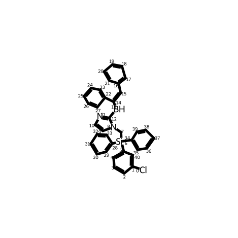 Clc1cccc([Si](Cn2ccnc2BC(=Cc2ccccc2)c2ccccc2)(c2ccccc2)c2ccccc2)c1